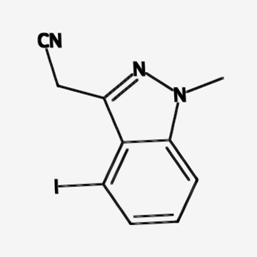 Cn1nc(CC#N)c2c(I)cccc21